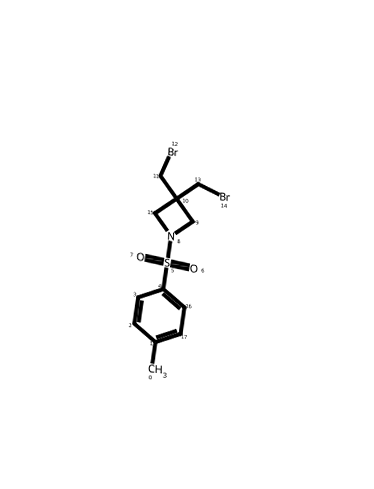 Cc1ccc(S(=O)(=O)N2CC(CBr)(CBr)C2)cc1